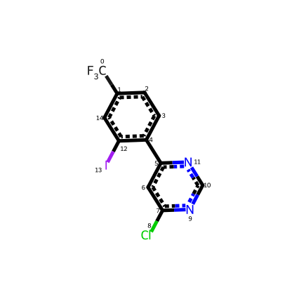 FC(F)(F)c1ccc(-c2cc(Cl)ncn2)c(I)c1